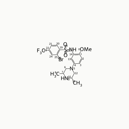 COc1ccc(N2CC(C)NC(C)C2)cc1NS(=O)(=O)c1ccc(C(F)(F)F)cc1Br